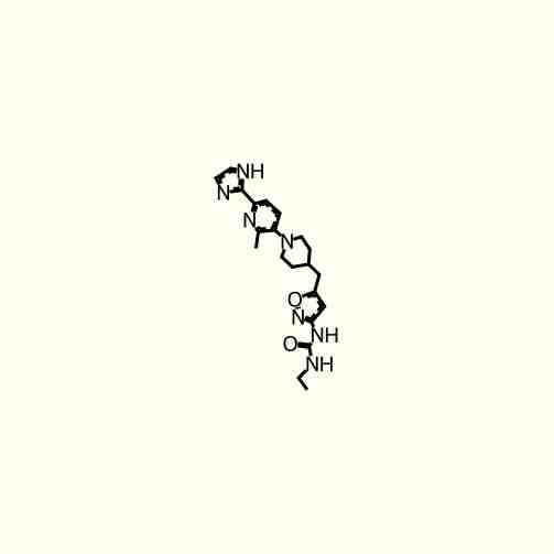 CCNC(=O)Nc1cc(CC2CCN(c3ccc(-c4ncc[nH]4)nc3C)CC2)on1